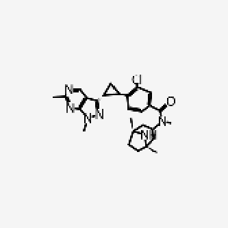 Cc1ncc2c([C@@H]3C[C@H]3c3ccc(C(=O)N(C)C4C[C@]5(C)CC[C@](C)(C4)N5)cc3Cl)nn(C)c2n1